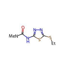 CCSc1nnc(NC(=O)NC)s1